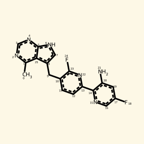 Cc1ncnc2[nH]cc(Cc3ccc(-c4ncc(F)cc4N)nc3F)c12